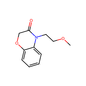 COCCN1C(=O)COc2cc[c]cc21